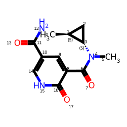 C[C@H]1C[C@@H]1N(C)C(=O)c1cc(C(N)=O)c[nH]c1=O